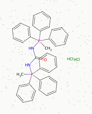 CP(NC(=O)NP(C)(c1ccccc1)(c1ccccc1)c1ccccc1)(c1ccccc1)(c1ccccc1)c1ccccc1.Cl.Cl